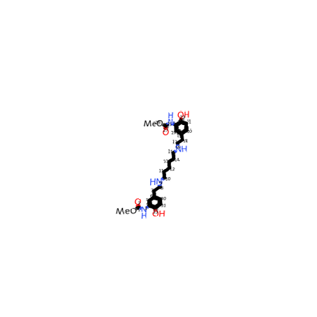 COC(=O)Nc1cc(CCNCCCCCCNCCc2ccc(O)c(NC(=O)OC)c2)ccc1O